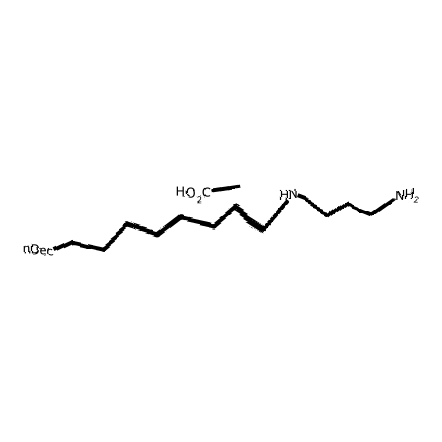 CC(=O)O.CCCCCCCCCCCCCCCCCCNCCCN